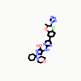 CC(Cn1cnnn1)Oc1cc(-c2cnc(Nc3cn(C4(N5CCOCC5)CCCCC4)nc3O)nc2)ccc1Cl